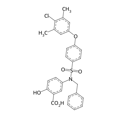 Cc1cc(Oc2ccc(S(=O)(=O)N(Cc3ccccc3)c3ccc(O)c(C(=O)O)c3)cc2)cc(C)c1Cl